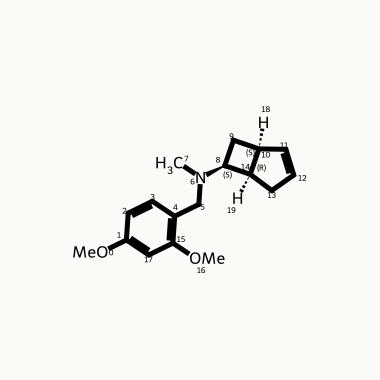 COc1ccc(CN(C)[C@H]2C[C@H]3C=CC[C@H]32)c(OC)c1